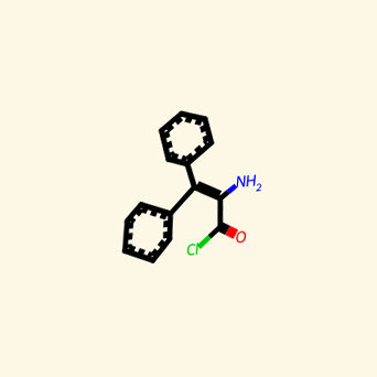 NC(C(=O)Cl)=C(c1ccccc1)c1ccccc1